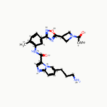 COC(=O)N1CC(c2nc(-c3ccc(C)c(NC(=O)c4cnc5ccc(CCCN)cn45)c3)no2)C1